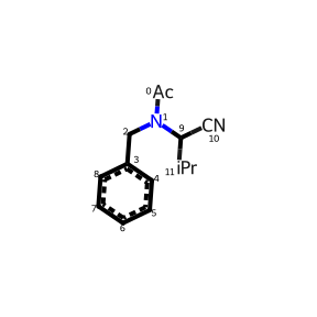 CC(=O)N(Cc1ccccc1)C(C#N)C(C)C